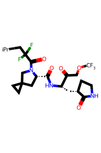 CC(C)CC(F)(F)C(=O)N1CC2(CC2)C[C@H]1C(=O)N[C@@H](C[C@@H]1CCNC1=O)C(=O)COC(F)(F)F